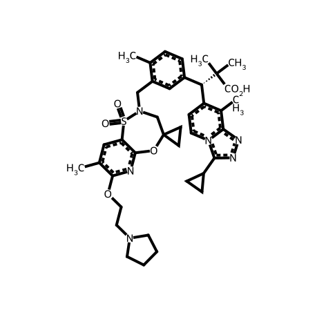 Cc1ccc([C@@H](c2ccn3c(C4CC4)nnc3c2C)C(C)(C)C(=O)O)cc1CN1CC2(CC2)Oc2nc(OCCN3CCCC3)c(C)cc2S1(=O)=O